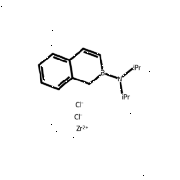 CC(C)N(B1C=Cc2ccccc2C1)C(C)C.[Cl-].[Cl-].[Zr+2]